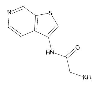 NCC(=O)Nc1csc2cnccc12